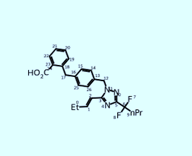 CC/C=C/c1nc(C(F)(F)CCC)nn1Cc1ccc(Cc2ccccc2C(=O)O)cc1